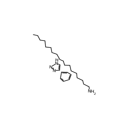 CCCCCCCCCCCCCCCCCCN.c1c[nH]nn1.c1ccccc1